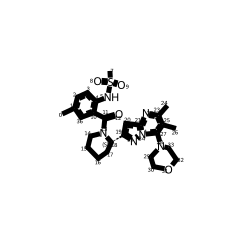 Cc1ccc(NS(C)(=O)=O)c(C(=O)N2CCCC[C@H]2c2cc3nc(C)c(C)c(N4CCOCC4)n3n2)c1